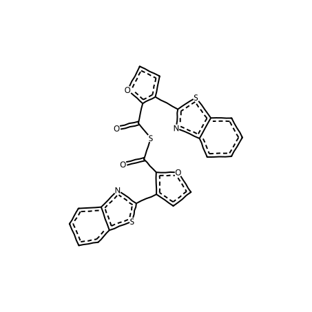 O=C(SC(=O)c1occc1-c1nc2ccccc2s1)c1occc1-c1nc2ccccc2s1